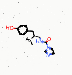 C[As](C)[C@H](CNC(=O)n1ccnc1)Cc1ccc(O)cc1